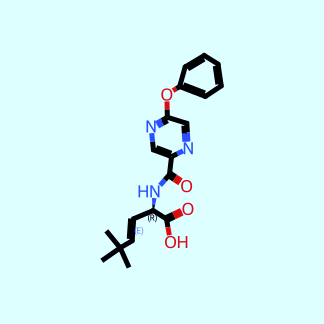 CC(C)(C)/C=C/[C@@H](NC(=O)c1cnc(Oc2ccccc2)cn1)C(=O)O